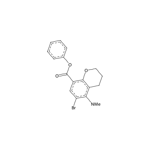 CNc1c(Br)cc(C(=O)Oc2ccccc2)c2c1CCCO2